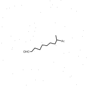 CC(=O)C(C)CCCCCCCC=O